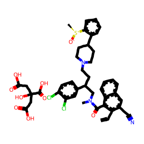 C=Cc1c(C#N)cc2ccccc2c1C(=O)N(C)CC(CCN1CCC(c2ccccc2[S@+](C)[O-])CC1)c1ccc(Cl)c(Cl)c1.O=C(O)CC(O)(CC(=O)O)C(=O)O